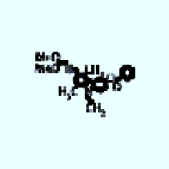 C=CCn1c2ccc(OC(=O)c3ccccc3)cc2c2c(C)c(/C=N/CC(OC)OC)cc(C)c21